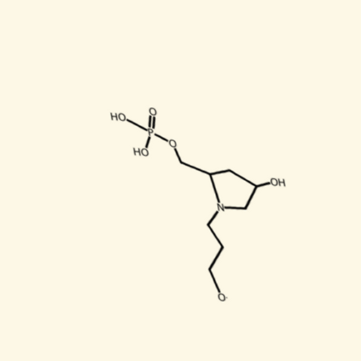 [O]CCCN1CC(O)CC1COP(=O)(O)O